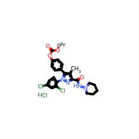 CCCOC(=O)Oc1ccc(-c2c(C)c(C(=O)NN3CCCCC3)nn2-c2ccc(Cl)cc2Cl)cc1.Cl